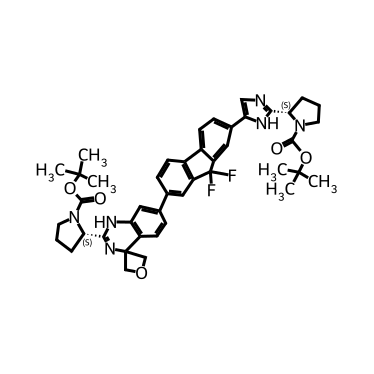 CC(C)(C)OC(=O)N1CCC[C@H]1C1=NC2(COC2)c2ccc(-c3ccc4c(c3)C(F)(F)c3cc(-c5cnc([C@@H]6CCCN6C(=O)OC(C)(C)C)[nH]5)ccc3-4)cc2N1